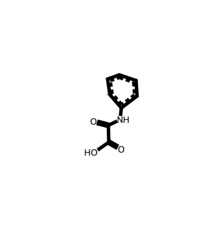 O=C(O)C(=O)Nc1[c]cccc1